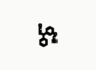 N=C=O.O=C=NC(c1ccccc1)c1ccccc1